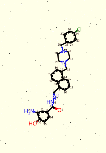 Nc1cc(C(=O)N/N=C/c2cccc3c(CN4CCN(Cc5ccc(Cl)cc5)CC4)cccc23)ccc1O